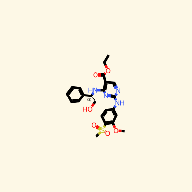 CCOC(=O)c1cnc(Nc2ccc(S(C)(=O)=O)c(OC)c2)nc1N[C@H](CO)c1ccccc1